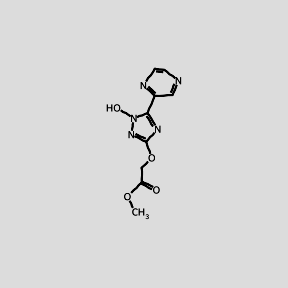 COC(=O)COc1nc(-c2cnccn2)n(O)n1